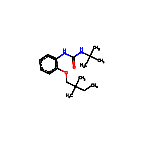 CCC(C)(C)COc1ccccc1NC(=O)NC(C)(C)C